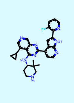 CC1(C)CNCC[C@H]1Nc1nc(-c2ccnc3[nH]c(-c4ncccc4F)cc23)nc2cncc(C3CC3)c12